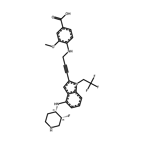 COc1cc(C(=O)O)ccc1NCC#Cc1cc2c(N[C@H]3CCNC[C@H]3F)cccc2n1CC(F)(F)F